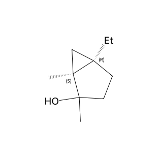 CC[C@]12CCC(C)(O)[C@@]1(C)C2